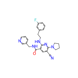 N#Cc1cc(C(=O)NCc2cccnc2)c(NCCc2cccc(F)c2)nc1N1CCCC1